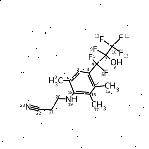 Cc1cc(C(F)(F)C(O)(F)C(F)(F)F)c(C)c(C)c1NCCC#N